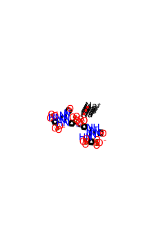 O=S(=O)([O-])c1ccc(S(=O)(=O)[O-])c(Nc2nc(Nc3ccc(/C=C/c4ccc(Nc5nc(Nc6cc(S(=O)(=O)[O-])ccc6S(=O)(=O)[O-])nc(N6CCOCC6)n5)cc4S(=O)(=O)[O-])c(S(=O)(=O)[O-])c3)nc(N3CCOCC3)n2)c1.[Na+].[Na+].[Na+].[Na+].[Na+].[Na+]